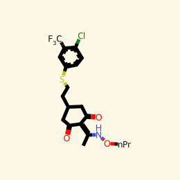 CCCONC(C)=C1C(=O)CC(CCSc2ccc(Cl)c(C(F)(F)F)c2)CC1=O